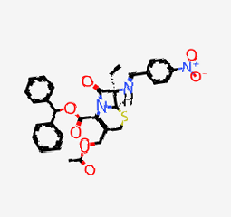 CC[C@@]1(N=Cc2ccc([N+](=O)[O-])cc2)C(=O)N2C(C(=O)OC(c3ccccc3)c3ccccc3)=C(COC(C)=O)CS[C@@H]21